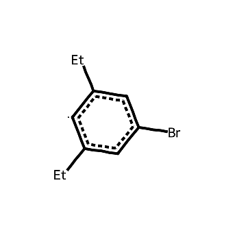 CCc1[c]c(CC)cc(Br)c1